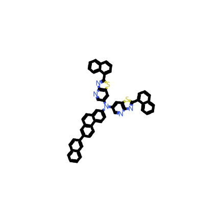 c1ccc2cc(-c3ccc4c(ccc5cc(N(c6cnc7nc(-c8cccc9ccccc89)sc7c6)c6cnc7nc(-c8cccc9ccccc89)sc7c6)ccc54)c3)ccc2c1